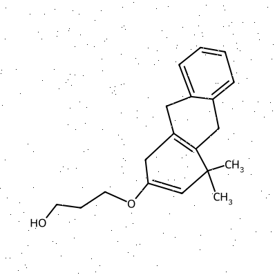 CC1(C)C=C(OCCCO)CC2=C1Cc1ccccc1C2